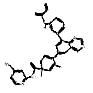 C=CC(=C)Nc1cccc(-c2cc(C3=CCC(C)(C(=C)Nc4cc(S)ccn4)C=C3F)cc3cncnc23)c1